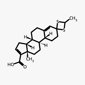 CC1SC2(C=C3CC[C@@H]4[C@H](CC[C@]5(C)C(C(=O)O)=CC[C@H]45)[C@H]3CC2)S1